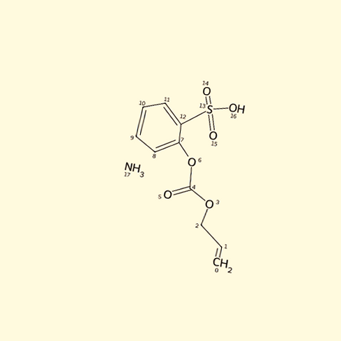 C=CCOC(=O)Oc1ccccc1S(=O)(=O)O.N